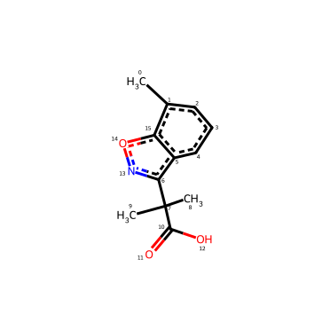 Cc1cccc2c(C(C)(C)C(=O)O)noc12